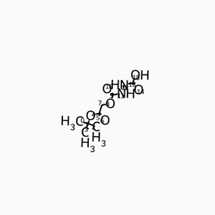 CC(C)(C)OC(=O)COC(=O)NNC(=O)O